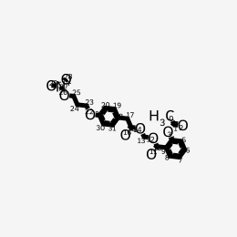 CC(=O)Oc1ccccc1C(=O)OCOC(=O)Cc1ccc(OCCCO[N+](=O)[O-])cc1